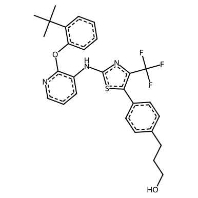 CC(C)(C)c1ccccc1Oc1ncccc1Nc1nc(C(F)(F)F)c(-c2ccc(CCCO)cc2)s1